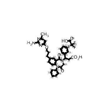 Cc1cc(OCCCc2ccc3c(c2)C(=O)N(C(CC(=O)O)c2ccccc2)CC(=O)N3c2ccccc2)nc(N)n1.O=C(O)C(F)(F)F